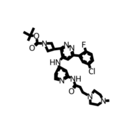 CN1CCN(CCC(=O)Nc2cc(Nc3cc(-c4cc(Cl)ccc4F)nnc3C3CN(C(=O)OC(C)(C)C)C3)ccn2)CC1